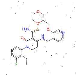 CCc1c(F)cccc1N1CCC(NCc2ccncc2OCC2COCCO2)=C(C(N)=S)C1=O